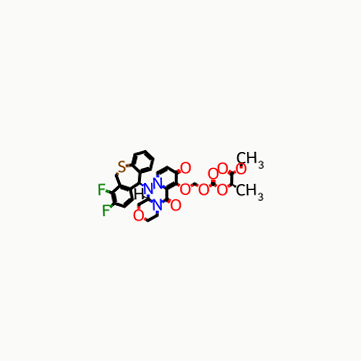 COC(=O)[C@@H](C)OC(=O)OCOc1c2n(ccc1=O)N([C@@H]1c3ccccc3SCc3c1ccc(F)c3F)[C@@H]1COCCN1C2=O